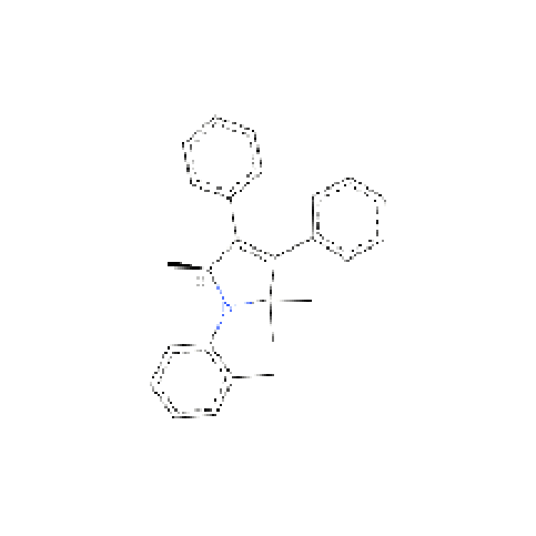 Cc1ccccc1N1[C@@H](C)C(c2ccccc2)=C(c2ccccc2)C1(C)C